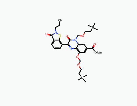 COC(=O)c1cc(OCOCC[Si](C)(C)C)c2nc(-c3cccc4c(=O)n(CCC#N)sc34)c(=O)n(COCC[Si](C)(C)C)c2c1